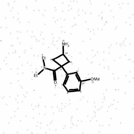 CCN(CC)C(=O)C1(c2cccc(OC)c2)CC(N)C1